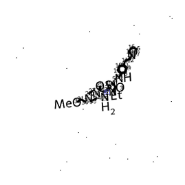 CCN1C(=O)[C@@H](CNc2ccc(CCN3CCCC3)cc2)S/C1=C(/N)C(=O)N1CCN(CCOC)CC1